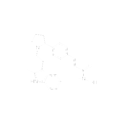 Cc1[nH]c2ccccc2c1CCN1CCCC1c1ccc(C=CC(=O)NO)cc1